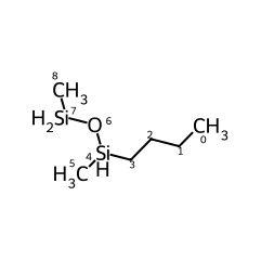 CCCC[SiH](C)O[SiH2]C